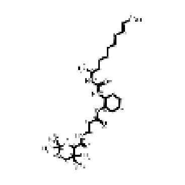 CCCCCCCCC=CCCCCCCC(C)NC(=O)NC1CCCCC1OC(=O)CCNC(=O)C1OC(C)(C)OCC1(C)C